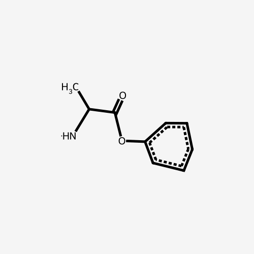 CC([NH])C(=O)Oc1ccccc1